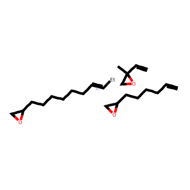 C=CC1(C)CO1.C=CCCCCC1CO1.CC/C=C/CCCCCCC1CO1